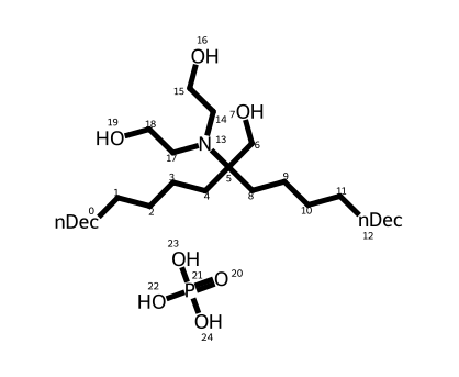 CCCCCCCCCCCCCCC(CO)(CCCCCCCCCCCCCC)N(CCO)CCO.O=P(O)(O)O